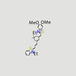 CCN1/C(=C/C=C/C2=CC(=C/c3sc4cc(OC)c(OC)cc4[n+]3CC)/CC(C)(C)C2)Sc2ccccc21